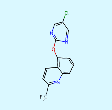 FC(F)(F)c1ccc2c(Oc3ncc(Cl)cn3)cccc2n1